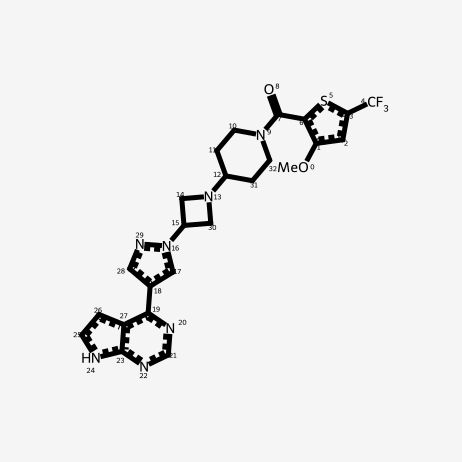 COc1cc(C(F)(F)F)sc1C(=O)N1CCC(N2CC(n3cc(-c4ncnc5[nH]ccc45)cn3)C2)CC1